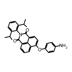 CC(C)c1cccc(C(C)C)c1N1C(=O)c2cccc3c(Oc4ccc(N)cc4)ccc(c23)C1=O